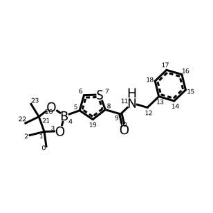 CC1(C)OB(c2csc(C(=O)NCc3ccccc3)c2)OC1(C)C